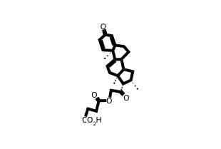 C[C@H]1CC2C3CCC4=CC(=O)C=C[C@]4(C)C3=CC[C@]2(C)[C@H]1C(=O)COC(=O)CCC(=O)O